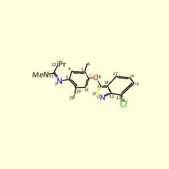 CNC(=Nc1cc(C)c(Oc2snc3c(Cl)cccc23)cc1C)C(C)C